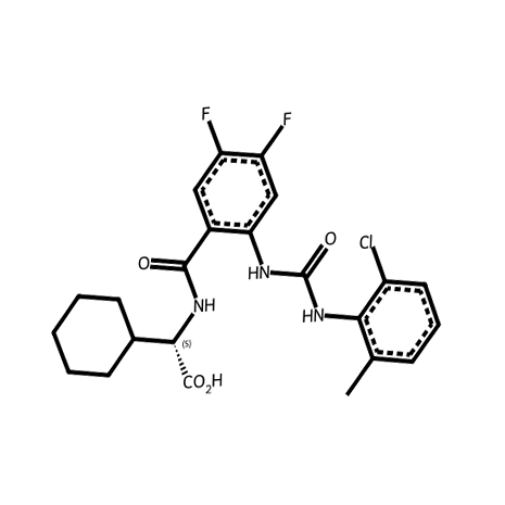 Cc1cccc(Cl)c1NC(=O)Nc1cc(F)c(F)cc1C(=O)N[C@H](C(=O)O)C1CCCCC1